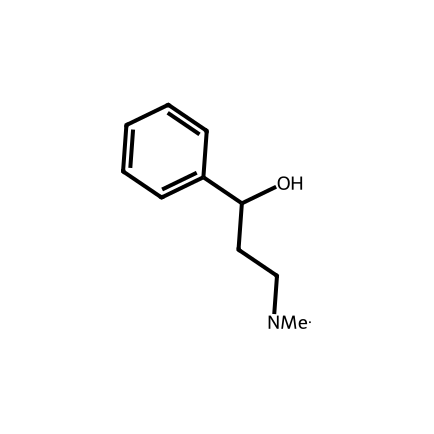 C[N]CCC(O)c1ccccc1